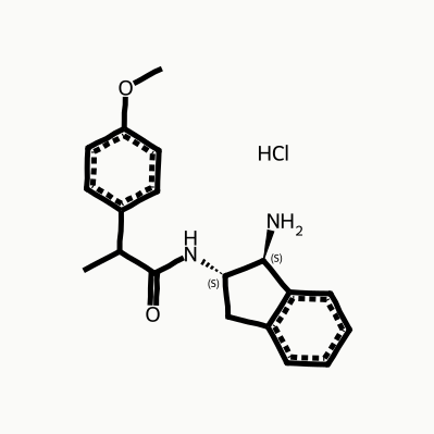 COc1ccc(C(C)C(=O)N[C@H]2Cc3ccccc3[C@@H]2N)cc1.Cl